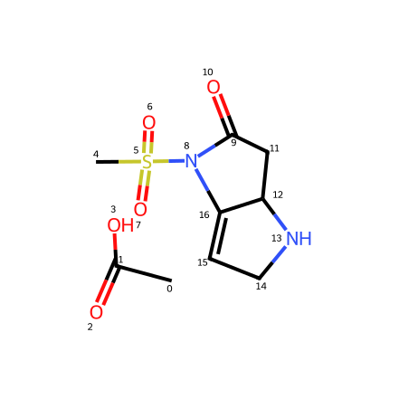 CC(=O)O.CS(=O)(=O)N1C(=O)CC2NCC=C21